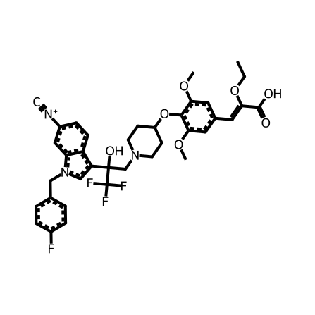 [C-]#[N+]c1ccc2c(C(O)(CN3CCC(Oc4c(OC)cc(/C=C(\OCC)C(=O)O)cc4OC)CC3)C(F)(F)F)cn(Cc3ccc(F)cc3)c2c1